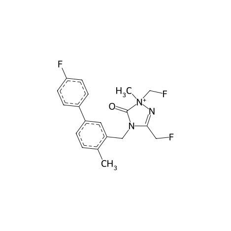 Cc1ccc(-c2ccc(F)cc2)cc1CN1C(=O)[N+](C)(CF)N=C1CF